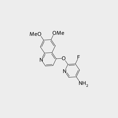 COc1cc2nccc(Oc3ncc(N)cc3F)c2cc1OC